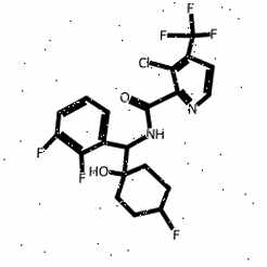 O=C(NC(c1cccc(F)c1F)C1(O)CCC(F)CC1)c1nccc(C(F)(F)F)c1Cl